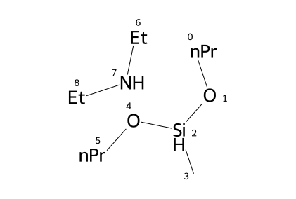 CCCO[SiH](C)OCCC.CCNCC